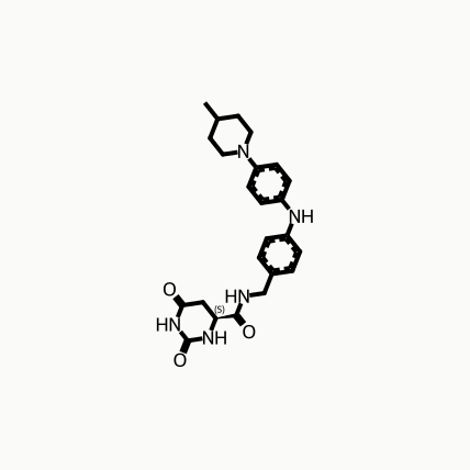 CC1CCN(c2ccc(Nc3ccc(CNC(=O)[C@@H]4CC(=O)NC(=O)N4)cc3)cc2)CC1